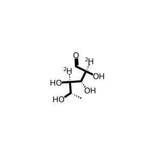 [2H][C@@](O)([C@H](C)O)[C@@H](O)[C@]([2H])(O)C=O